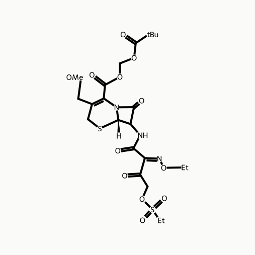 CCON=C(C(=O)COS(=O)(=O)CC)C(=O)NC1C(=O)N2C(C(=O)OCOC(=O)C(C)(C)C)=C(COC)CS[C@@H]12